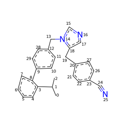 CC(C)c1ccccc1-c1ccc(Cn2cncc2Cc2ccc(C#N)cc2)cc1